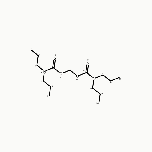 CCCN(CCC)C(=S)OCOC(=S)N(CCC)CCC